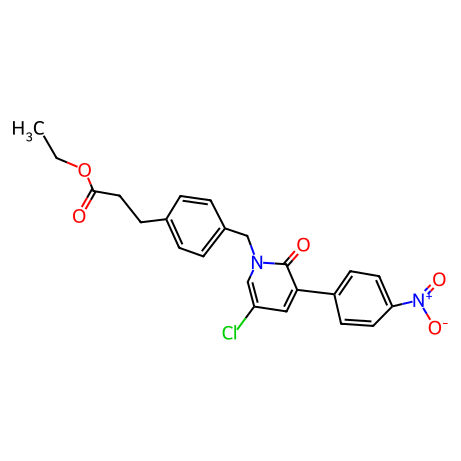 CCOC(=O)CCc1ccc(Cn2cc(Cl)cc(-c3ccc([N+](=O)[O-])cc3)c2=O)cc1